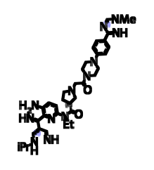 CCN(C(=O)[C@@H]1CCN(CC(=O)N2CCN(c3ccc(C(=N)/N=C\NC)cc3)CC2)C1)c1ccc(N)c(C(=N)/C(C=N)=C/NC(C)C)n1